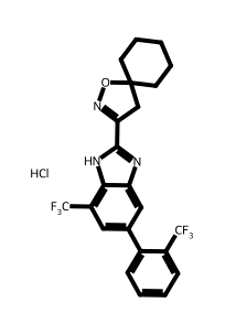 Cl.FC(F)(F)c1ccccc1-c1cc(C(F)(F)F)c2[nH]c(C3=NOC4(CCCCC4)C3)nc2c1